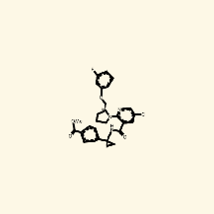 COC(=O)c1ccc(C2(NC(=O)c3cc(Cl)cnc3N3CCC[C@H]3COc3cccc(F)c3)CC2)cc1